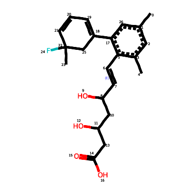 Cc1cc(C)c(/C=C/C(O)CC(O)CC(=O)O)c(C2=CC=CC(C)(F)C2)c1